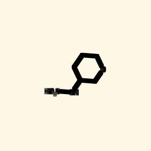 O=S(=O)(O)NC1CCCOC1